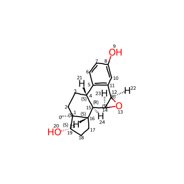 C[C@]12CC[C@@H]3c4ccc(O)cc4[C@H]4O[C@H]4[C@H]3[C@@H]1CC[C@@H]2O